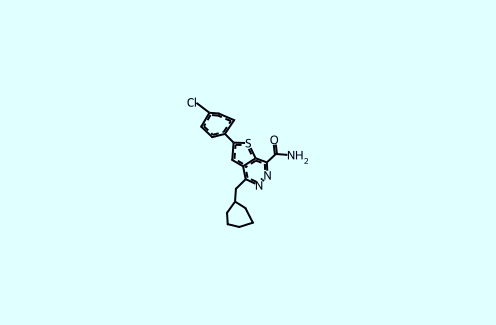 NC(=O)c1nnc(CC2CCCCC2)c2cc(-c3ccc(Cl)cc3)sc12